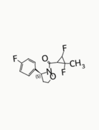 CC1(F)C(F)C1C(=O)N1OCC[C@H]1c1ccc(F)cc1